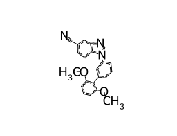 COc1cccc(OC)c1-c1cccc(-n2cnc3cc(C#N)ccc32)c1